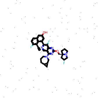 C#Cc1c(F)ccc2cc(O)cc(-c3ncc4c(N5CCCC6CC6C5)nc(OC[C@@]56CCCN5C[C@H](F)C6)nc4c3F)c12